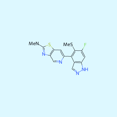 CNc1nc2cnc(-c3c(SC)c(F)cc4[nH]ncc34)cc2s1